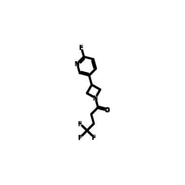 O=C(CCC(F)(F)F)N1CC(c2ccc(F)nc2)C1